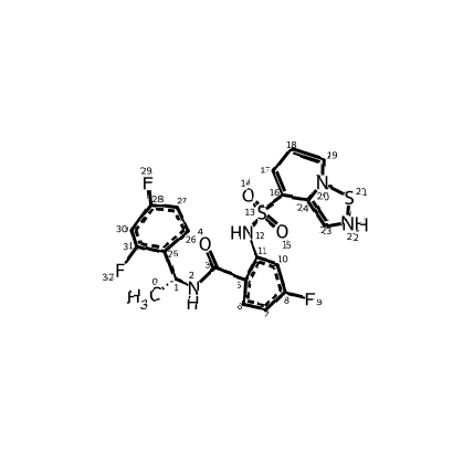 C[C@@H](NC(=O)c1ccc(F)cc1NS(=O)(=O)C1=CC=CN2SNC=C12)c1ccc(F)cc1F